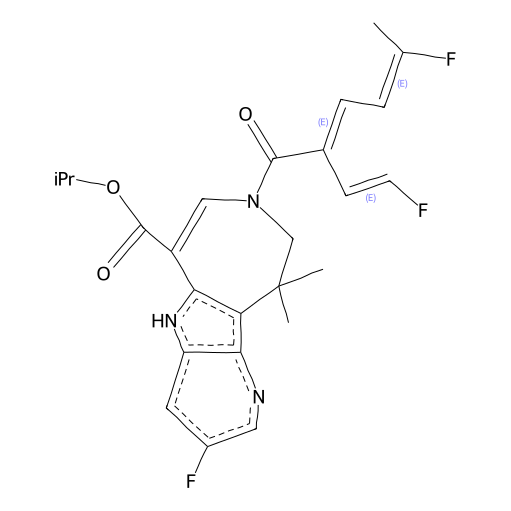 C\C(F)=C/C=C(\C=C\F)C(=O)N1C=C(C(=O)OC(C)C)c2[nH]c3cc(F)cnc3c2C(C)(C)C1